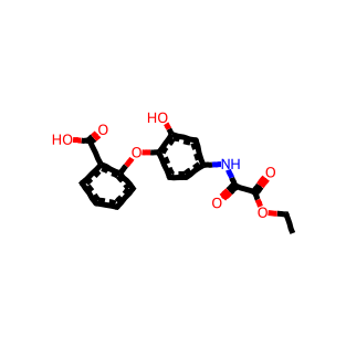 CCOC(=O)C(=O)Nc1ccc(Oc2ccccc2C(=O)O)c(O)c1